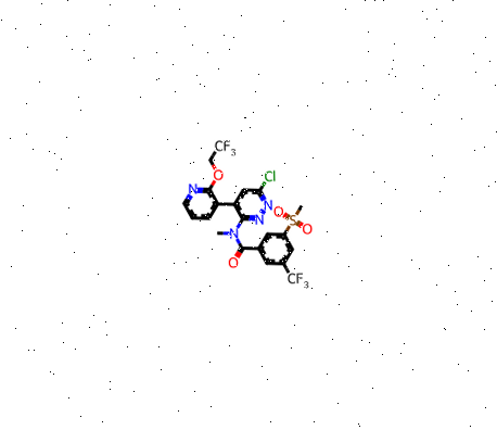 CN(C(=O)c1cc(C(F)(F)F)cc(S(C)(=O)=O)c1)c1nnc(Cl)cc1-c1cccnc1OCC(F)(F)F